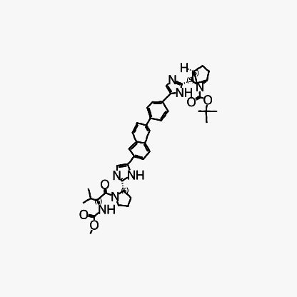 COC(=O)N[C@H](C(=O)N1CCC[C@H]1c1ncc(-c2ccc3cc(-c4ccc(-c5cnc([C@@H]6[C@H]7CCC(C7)N6C(=O)OC(C)(C)C)[nH]5)cc4)ccc3c2)[nH]1)C(C)C